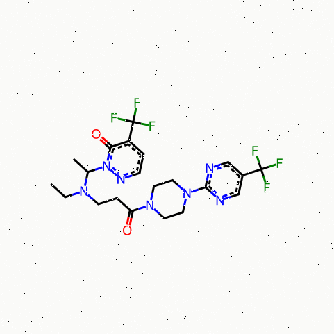 CCN(CCC(=O)N1CCN(c2ncc(C(F)(F)F)cn2)CC1)C(C)n1nccc(C(F)(F)F)c1=O